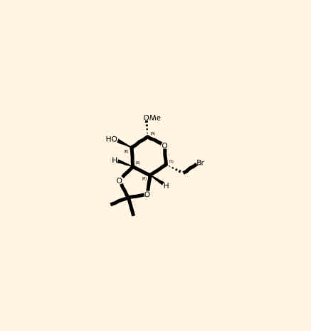 CO[C@@H]1O[C@H](CBr)[C@@H]2OC(C)(C)O[C@@H]2[C@H]1O